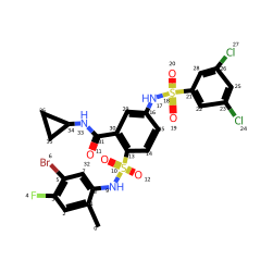 Cc1cc(F)c(Br)cc1NS(=O)(=O)c1ccc(NS(=O)(=O)c2cc(Cl)cc(Cl)c2)cc1C(=O)NC1CC1